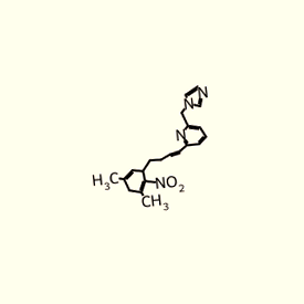 CC1=CC(CC/C=C/c2cccc(Cn3ccnc3)n2)C([N+](=O)[O-])=C(C)C1